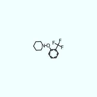 FC(F)(F)c1ccccc1ON1CCCCC1